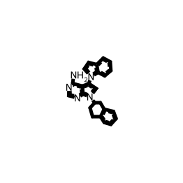 Nc1ncnc2c1c(-n1ccc3ccccc31)cn2C1CCc2ccccc2C1